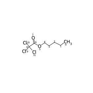 CCCCCOC(=O)C(Cl)(Cl)Cl